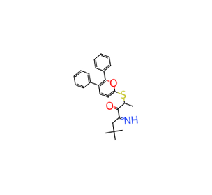 CC(SC1=C=CC(c2ccccc2)=C(c2ccccc2)O1)C(=O)C(=N)CC(C)(C)C